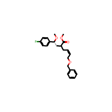 COC(=O)C(C/C=C\COCc1ccccc1)C[C@@H](OC)c1ccc(F)cc1